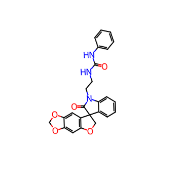 O=C(NCCN1C(=O)C2(COc3cc4c(cc32)OCO4)c2ccccc21)Nc1ccccc1